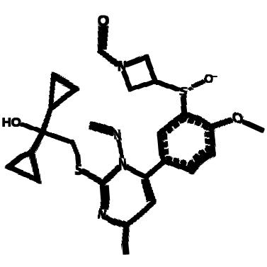 C=NN1C(c2ccc(OC)c([S+]([O-])C3CN(C=O)C3)c2)=CC(C)N=C1SCC(O)(C1CC1)C1CC1